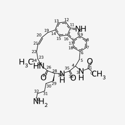 CC(=O)NC1Cc2ccc3[nH]c4ccc(cc4c3c2)CC=CC[C@@H](C)NC(=O)[C@H](CCCCN)NC1=O